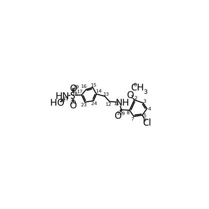 COc1ccc(Cl)cc1C(=O)NCCc1ccc(S(=O)(=O)NO)cc1